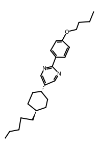 CCCCC[C@H]1CC[C@H](c2cnc(-c3ccc(OCCCC)cc3)nc2)CC1